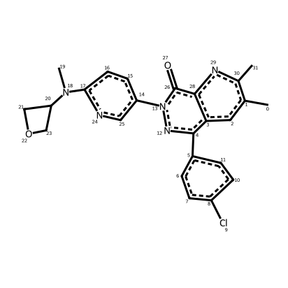 Cc1cc2c(-c3ccc(Cl)cc3)nn(-c3ccc(N(C)C4COC4)nc3)c(=O)c2nc1C